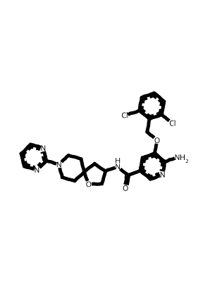 Nc1ncc(C(=O)NC2COC3(CCN(c4ncccn4)CC3)C2)cc1OCc1c(Cl)cccc1Cl